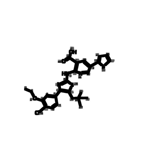 CCOc1cc(-c2nc(Nc3ncc(-c4cccs4)cc3C(=O)O)sc2CC(C)(C)C)ccc1Cl